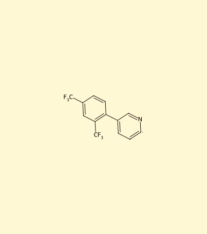 FC(F)(F)c1ccc(-c2cc[c]nc2)c(C(F)(F)F)c1